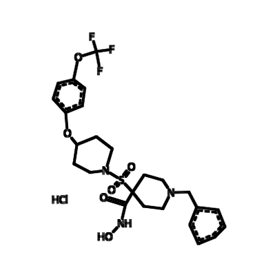 Cl.O=C(NO)C1(S(=O)(=O)N2CCC(Oc3ccc(OC(F)(F)F)cc3)CC2)CCN(Cc2ccccc2)CC1